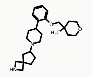 CC1(COc2ccccc2C2CCN(C3CCC4(CNC4)C3)CC2)CCOCC1